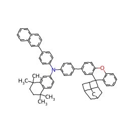 CC1(C)CCC(C)(C)c2cc(N(c3ccc(-c4ccc5c(c4)C4(c6ccccc6O5)C5CC6CC7CC4C75C6)cc3)c3ccc(-c4ccc5ccccc5c4)cc3)ccc21